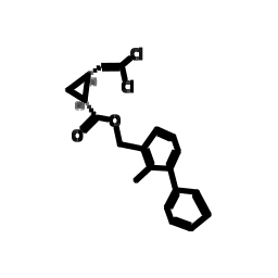 Cc1c(COC(=O)[C@@H]2C[C@@H]2C=C(Cl)Cl)cccc1-c1ccccc1